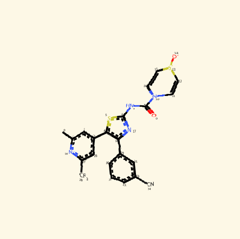 Cc1cc(-c2sc(NC(=O)N3C=C[S+]([O-])C=C3)nc2-c2cccc(C#N)c2)cc(C(F)(F)F)n1